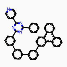 c1ccc(-c2nc(-c3ccncc3)nc(-c3cccc(-c4cccc(-c5cccc(-c6ccc7c8ccccc8c8ccccc8c7c6)c5)c4)c3)n2)cc1